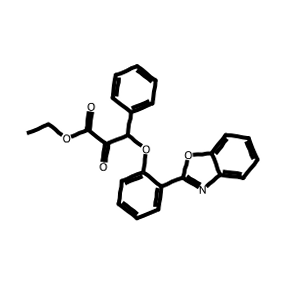 CCOC(=O)C(=O)C(Oc1ccccc1-c1nc2ccccc2o1)c1ccccc1